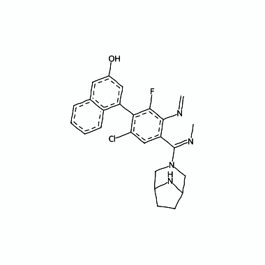 C=Nc1c(/C(=N\C)N2CC3CCC(C2)N3)cc(Cl)c(-c2cc(O)cc3ccccc23)c1F